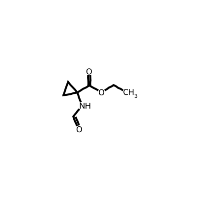 CCOC(=O)C1(NC=O)CC1